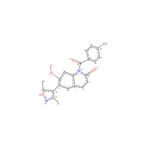 COc1cc2c(ccc(=O)n2C(=O)c2ccc(Cl)cc2)cc1-c1c(C)noc1C